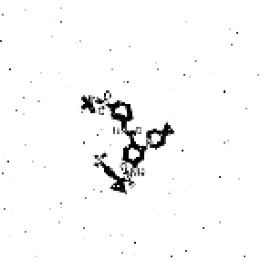 CC(C)(C)NS(=O)(=O)c1cccc(NC(=O)c2ccc(NS(=O)(=O)C3(C#CS(C)(C)C)CC3)cc2N2CCC3(CC2)CC3)c1